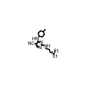 CCN(CC)CCCNc1ncc(C#N)c(NC2CCC(C)CC2)n1